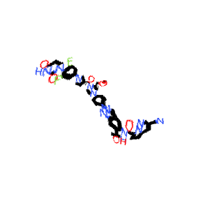 COC[C@H]1CN(C2CCC(n3cc4cc(NC(=O)c5ccc6cc(C#N)cnn56)c(C(C)(C)O)cc4n3)CC2)CCN1C(=O)[C@@H]1CCN(c2cc(F)c(N3CCC(=O)NC3=O)c(F)c2)C1